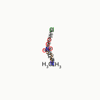 CN(C)c1ccc(-c2ccc(/C=C3\SC(=O)N(CCOCCOCCCCCCCl)C3=O)s2)s1